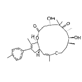 CC1=C(c2ccc(C)cc2)C[C@H]2/C=C(/C)CCC[C@H](C)[C@H](O)[C@@H](C)C(=O)C(C)(C)[C@@H](O)CC(=O)O[C@H]12